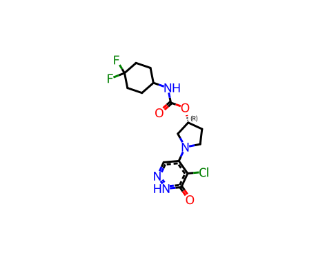 O=C(NC1CCC(F)(F)CC1)O[C@@H]1CCN(c2cn[nH]c(=O)c2Cl)C1